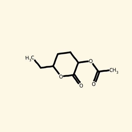 CCC1CCC(OC(C)=O)C(=O)O1